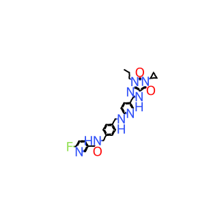 CCCn1c(=O)n(C2CC2)c(=O)c2[nH]c(-c3ccc(NCc4ccc(CNC(=O)c5ccc(F)nc5)cc4)nc3)nc21